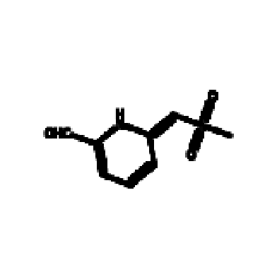 CS(=O)(=O)C=C1C=CC=C(C=O)N1